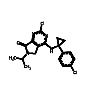 CC(C)N1Cc2c(NC3(c4ccc(Cl)cc4)CC3)nc(Cl)nc2C1=O